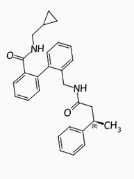 C[C@H](CC(=O)NCc1ccccc1-c1ccccc1C(=O)NCC1CC1)c1ccccc1